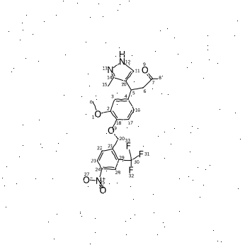 COc1cc(C(CC(C)=O)c2c[nH]nc2C)ccc1OCc1ccc([N+](=O)[O-])cc1C(F)(F)F